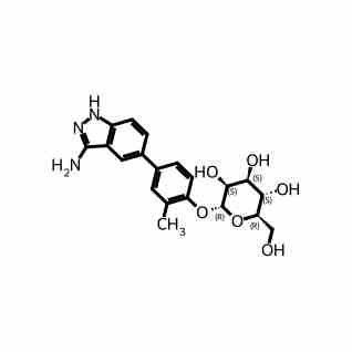 Cc1cc(-c2ccc3[nH]nc(N)c3c2)ccc1O[C@H]1O[C@H](CO)[C@@H](O)[C@H](O)[C@@H]1O